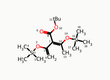 C=C(O[Si](C)(C)C)C(C(=O)OC(C)(C)C)=C(C)O[Si](C)(C)C